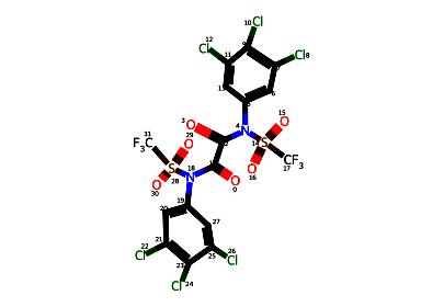 O=C(C(=O)N(c1cc(Cl)c(Cl)c(Cl)c1)S(=O)(=O)C(F)(F)F)N(c1cc(Cl)c(Cl)c(Cl)c1)S(=O)(=O)C(F)(F)F